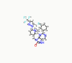 Cc1cc(C(F)(F)F)nn1-c1ccc(Cn2c(=O)[nH]c3cnc(-c4cccc(F)c4C(C)C)nc32)cn1